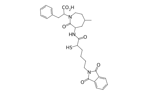 CC1CCN(C(Cc2ccccc2)C(=O)O)C(=O)C(NC(=O)C(S)CCCCN2C(=O)c3ccccc3C2=O)C1